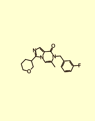 Cc1cn2c(C3CCCOC3)ncc2c(=O)n1Cc1cccc(F)c1